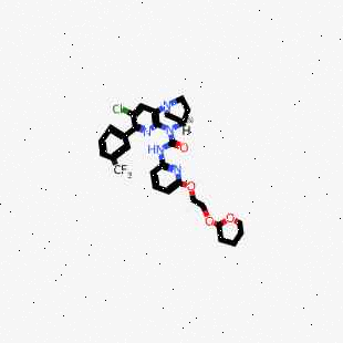 O=C(Nc1cccc(OCCOC2CCCCO2)n1)N1c2nc(-c3cccc(C(F)(F)F)c3)c(Cl)cc2N2CC[C@H]1C2